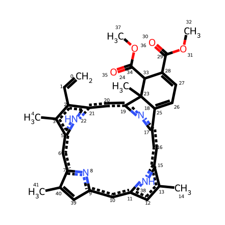 C=Cc1c(C)c2cc3nc(cc4cc(C)c(cc5nc(cc1[nH]2)C1(C)C5=CC=C(C(=O)OC)C1C(=O)OC)[nH]4)C=C3C